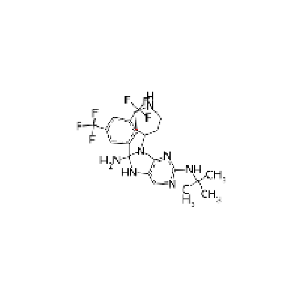 CC(C)(C)Nc1ncc2c(n1)N(C1CCNCC1)C(N)(c1cc(C(F)(F)F)cc(C(F)(F)F)c1)N2